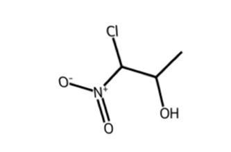 CC(O)C(Cl)[N+](=O)[O-]